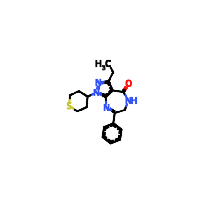 CCc1nn(C2CCSCC2)c2c1C(=O)NCC(c1ccccc1)=N2